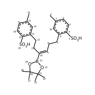 Cc1ccc(S(=O)(=O)O)c(CCC=C(CCc2cc(C)ccc2S(=O)(=O)O)B2OC(C)(C)C(C)(C)O2)c1